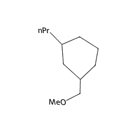 CCCC1CCCC(COC)C1